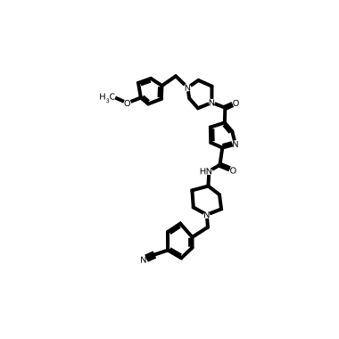 COc1ccc(CN2CCN(C(=O)c3ccc(C(=O)NC4CCN(Cc5ccc(C#N)cc5)CC4)nc3)CC2)cc1